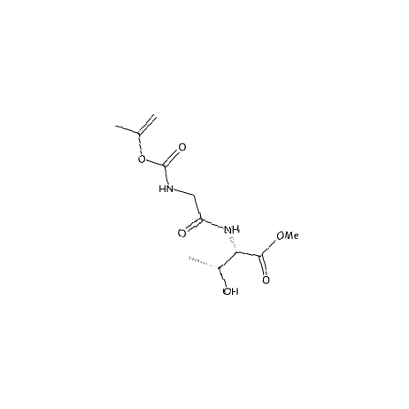 C=C(C)OC(=O)NCC(=O)N[C@H](C(=O)OC)[C@@H](C)O